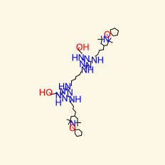 CC1(C)CC(CCCCNc2nc(NCCO)nc(NCCCCCCNc3nc(NCCO)nc(NCCCCC4CC(C)(C)N(OC5CCCCC5)C(C)(C)C4)n3)n2)CC(C)(C)N1OC1CCCCC1